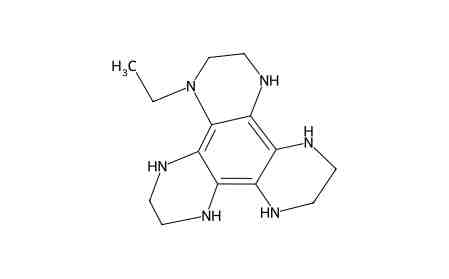 CCN1CCNc2c3c(c4c(c21)NCCN4)NCCN3